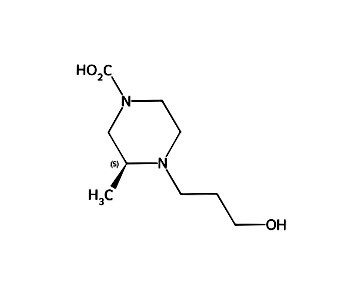 C[C@H]1CN(C(=O)O)CCN1CCCO